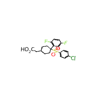 O=C(O)CC1CCC(c2cc(F)ccc2F)(S(=O)(=O)c2ccc(Cl)cc2)CC1